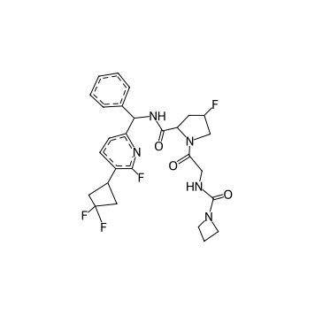 O=C(NC(c1ccccc1)c1ccc(C2CC(F)(F)C2)c(F)n1)C1CC(F)CN1C(=O)CNC(=O)N1CCC1